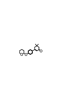 CC1(C)CC(=O)C=C(c2ccc(OC3CCCCO3)cc2)C1